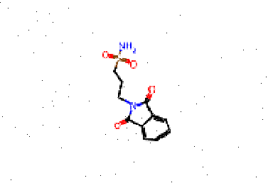 NS(=O)(=O)CCCN1C(=O)c2ccccc2C1=O